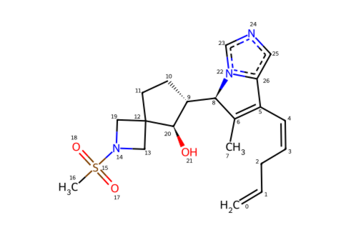 C=CC/C=C\C1=C(C)[C@@H]([C@H]2CCC3(CN(S(C)(=O)=O)C3)[C@@H]2O)n2cncc21